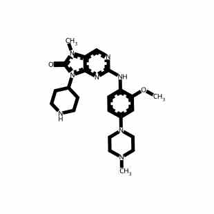 COc1cc(N2CCN(C)CC2)ccc1Nc1ncc2c(n1)n(C1CCNCC1)c(=O)n2C